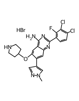 Br.Cn1cc(-c2cc3nc(-c4ccc(Cl)c(Cl)c4F)nc(N)c3cc2OC2CCNCC2)cn1